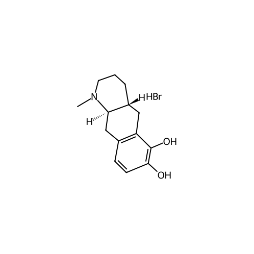 Br.CN1CCC[C@@H]2Cc3c(ccc(O)c3O)C[C@H]21